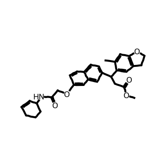 COC(=O)CC(c1ccc2ccc(OCC(=O)NC3C=CCCC3)cc2c1)c1cc2c(cc1C)OCC2